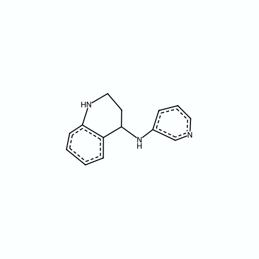 c1cncc(NC2CCNc3ccccc32)c1